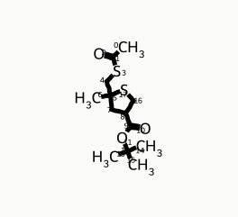 CC(=O)SCC1(C)CC(C(=O)OC(C)(C)C)CS1